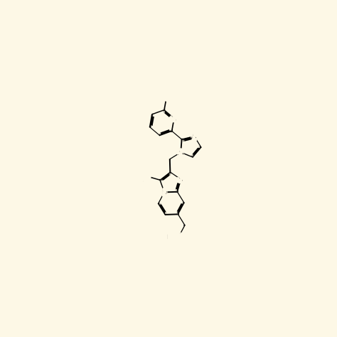 CCc1ccn2c(C)c(Cn3ccnc3-c3cccc(F)n3)nc2c1